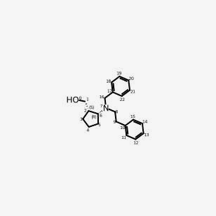 OC[C@H]1CCC[C@H]1N(CCc1ccccc1)Cc1ccccc1